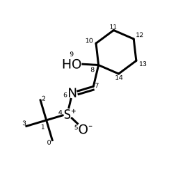 CC(C)(C)[S+]([O-])/N=C/C1(O)CCCCC1